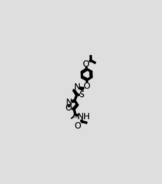 CC(=O)N[C@@H](C)c1cc(-c2cnc(Oc3ccc(OC(C)C)cc3)s2)no1